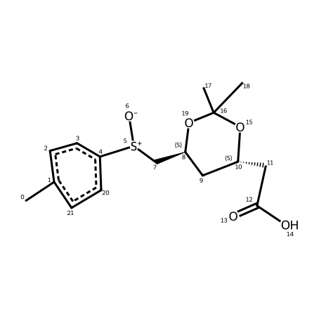 Cc1ccc([S+]([O-])C[C@@H]2C[C@@H](CC(=O)O)OC(C)(C)O2)cc1